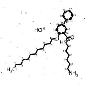 CCCCCCCCCCCCOc1ccc(-c2ccccc2)cc1C(=O)NCCCCCCN.Cl